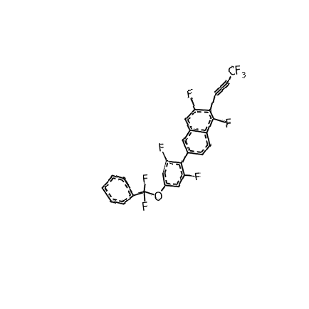 Fc1cc2cc(-c3c(F)cc(OC(F)(F)c4ccccc4)cc3F)ccc2c(F)c1C#CC(F)(F)F